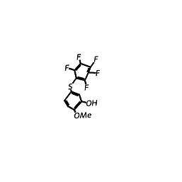 COc1ccc(Sc2c(F)c(F)c(F)c(F)c2F)cc1O